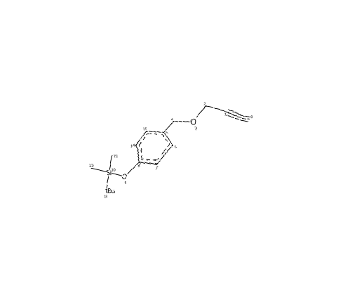 C#CCOCc1ccc(O[Si](C)(C)C(C)(C)C)cc1